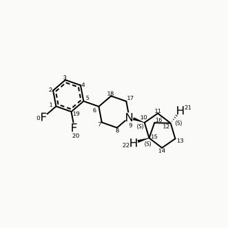 Fc1cccc(C2CCN([C@H]3C[C@H]4CC[C@H]3C4)CC2)c1F